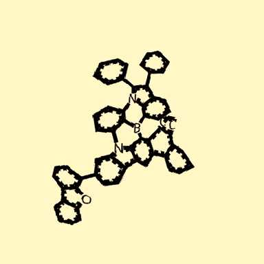 c1ccc(-c2c(-c3ccccc3)n3c4c(cccc24)B2c4c-3cccc4-n3c4cc(-c5cccc6c5oc5ccccc56)ccc4c4cc5c6ccccc6c6ccccc6c5c2c43)cc1